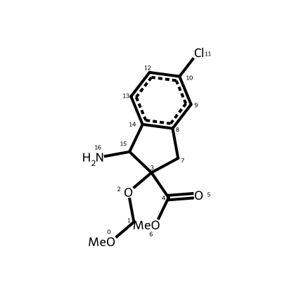 COCOC1(C(=O)OC)Cc2cc(Cl)ccc2C1N